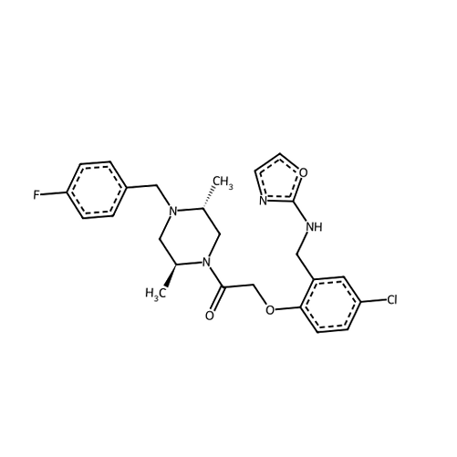 C[C@@H]1CN(C(=O)COc2ccc(Cl)cc2CNc2ncco2)[C@@H](C)CN1Cc1ccc(F)cc1